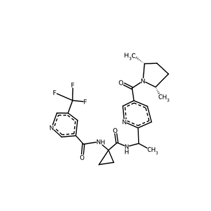 CC(NC(=O)C1(NC(=O)c2cncc(C(F)(F)F)c2)CC1)c1ccc(C(=O)N2[C@H](C)CC[C@@H]2C)cn1